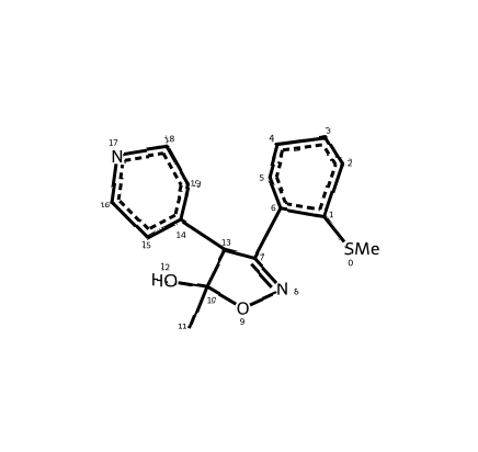 CSc1ccccc1C1=NOC(C)(O)C1c1ccncc1